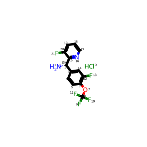 Cl.N[C@@H](c1ccc(OC(F)(F)F)c(F)c1)c1ncccc1F